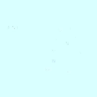 CC(=O)Nc1ccc(S(=O)(=O)N2[C@H]3CCC(C3)[C@@H]2C(=O)NO)cc1